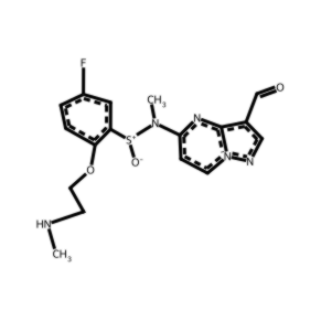 CNCCOc1ccc(F)cc1[S+]([O-])N(C)c1ccn2ncc(C=O)c2n1